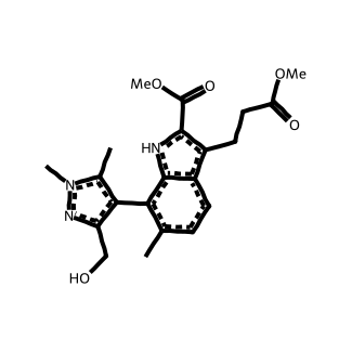 COC(=O)CCc1c(C(=O)OC)[nH]c2c(-c3c(CO)nn(C)c3C)c(C)ccc12